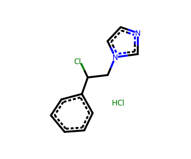 Cl.ClC(Cn1ccnc1)c1ccccc1